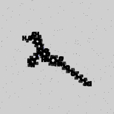 CN(C)c1ccc(/C=C2N=C(/C=C/c3cncnc3)N(CC(=O)NC3CCC(C(=O)NCCOCCOCCCCCCCl)CC3)C\2=O)cc1